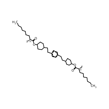 CCCCCCC[C@H](F)C(=O)OC1CCC(CCc2ccc(CCC3CCC(OC(=O)[C@@H](F)CCCCCCC)CC3)cc2)CC1